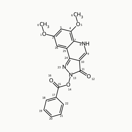 COc1cc(OC)c2[nH]cc3c(=O)n(OC(=O)c4ccccc4)nc-3c2c1